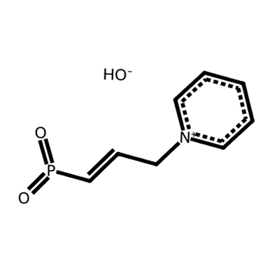 O=P(=O)C=CC[n+]1ccccc1.[OH-]